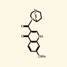 COc1ccc2c(=O)c(C(=O)N3CCN4CCC3CC4)c[nH]c2c1